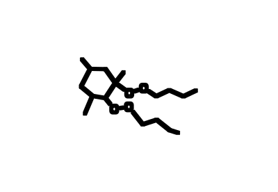 CCCCOOC1C(C)CC(C)CC1(C)OOCCCC